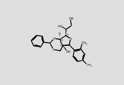 Cc1ccc(C2O[C@H](C(O)CO)[C@@H]3OC(c4ccccc4)OC[C@@]23O)c(C)c1